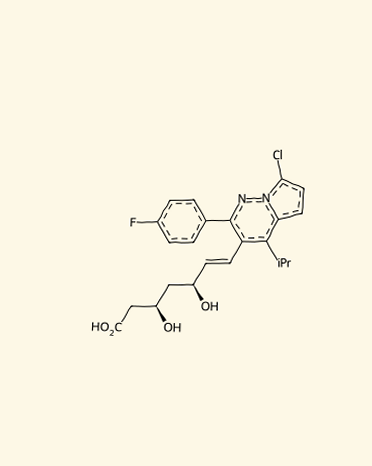 CC(C)c1c(C=C[C@@H](O)C[C@@H](O)CC(=O)O)c(-c2ccc(F)cc2)nn2c(Cl)ccc12